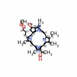 CC[C@H]1c2cc3[nH]c4c(c5nc(cc6[nH]c(cc(n2)[C@@H]1C)c(C(C)O)c6C)[C@@H](C)[C@@H]5CCCOOC)CC(=O)c4c3C